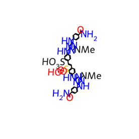 CNc1nc(Nc2ccc(C(N)=O)cc2)nc(Nc2ccc(/C=C/c3ccc(Nc4nc(NC)nc(Nc5ccc(C(N)=O)cc5)n4)cc3S(=O)(=O)O)c(SOOO)c2)n1